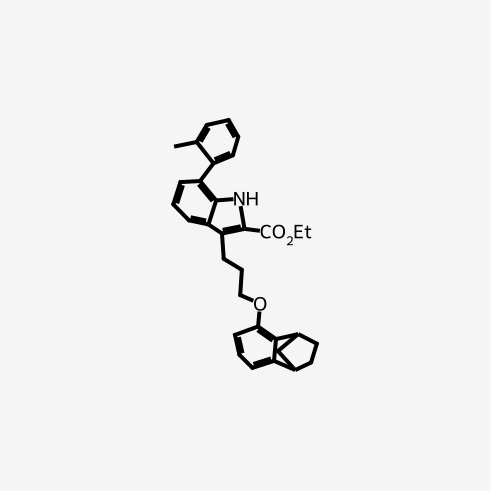 CCOC(=O)c1[nH]c2c(-c3ccccc3C)cccc2c1CCCOc1cccc2c1C1CCC2C1